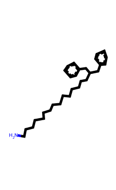 NCCCCCCCCCCCCCCCC(Cc1ccccc1)Cc1ccccc1